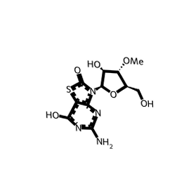 CO[C@H]1[C@@H](O)[C@H](n2c(=O)sc3c(O)nc(N)nc32)O[C@@H]1CO